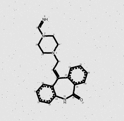 N=CN1CCN(CC=C2c3ccccc3NC(=O)c3ccccc32)CC1